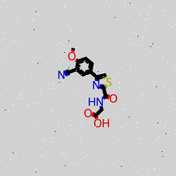 COc1ccc(-c2csc(C(=O)NCC(=O)O)n2)cc1C#N